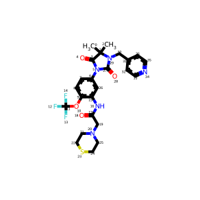 CC1(C)C(=O)N(c2ccc(OC(F)(F)F)c(NC(=O)CN3CCSCC3)c2)C(=O)N1Cc1ccncc1